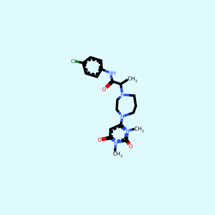 CC(C(=O)Nc1ccc(Cl)cc1)N1CCCN(c2cc(=O)n(C)c(=O)n2C)CC1